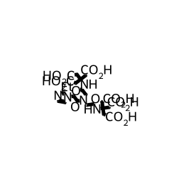 CCc1nccn1CC(=O)N(CC(=O)NC(CC(=O)O)(CC(=O)O)CC(=O)O)CC(=O)NC(CC(=O)O)(CC(=O)O)CC(=O)O